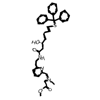 COC(=O)CN(C)Cc1cccc(CNC(=O)C[C@H](O)/C=C/CCSC(c2ccccc2)(c2ccccc2)c2ccccc2)n1